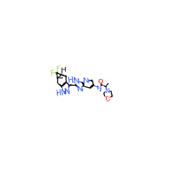 CC(C(=O)N(C)c1cnc2[nH]c(-c3n[nH]c4c3C[C@H]3C(F)(F)[C@@]3(C)C4)nc2c1)N1CCOCC1